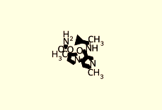 Cc1cc(N2CCC(C)(OC(N)=O)C2)c(C(=O)N[C@@H](C)C2CC2)cn1